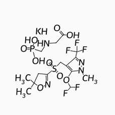 Cn1nc(C(F)(F)F)c(CS(=O)(=O)C2=NOC(C)(C)C2)c1OC(F)F.O=C(O)CNCP(=O)(O)O.[KH]